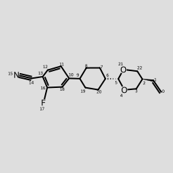 C=C[C@H]1CO[C@H](C2CCC(c3ccc(C#N)c(F)c3)CC2)OC1